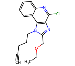 C#CCCCn1c(COCC)nc2c(Cl)nc3ccccc3c21